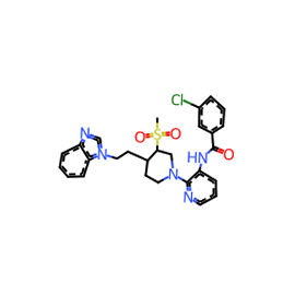 CS(=O)(=O)C1CN(c2ncccc2NC(=O)c2cccc(Cl)c2)CCC1CCn1cnc2ccccc21